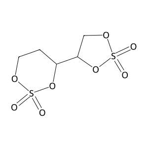 O=S1(=O)OCCC(C2COS(=O)(=O)O2)O1